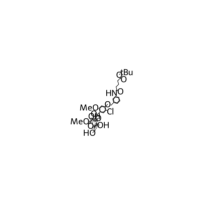 COc1cc(OCc2cccc(NC(=O)CCCC(=O)OC(C)(C)C)c2)c(Cl)cc1C(=O)O[C@@H]1[C@@H](O)[C@@H](OC)O[C@H](CO)[C@H]1O